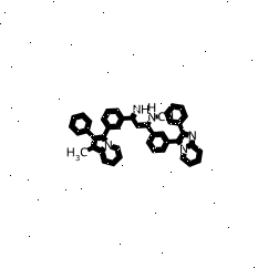 CN/C(=C\C(=N)c1cccc(-c2c(-c3ccccc3)c(C)c3ccccn23)c1)c1cccc(-c2c(-c3ccccc3)nc3ccccn23)c1